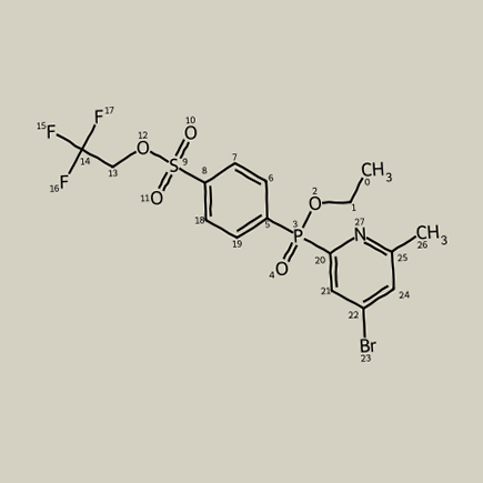 CCOP(=O)(c1ccc(S(=O)(=O)OCC(F)(F)F)cc1)c1cc(Br)cc(C)n1